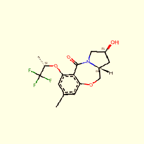 Cc1cc2c(c(O[C@@H](C)C(F)(F)F)c1)C(=O)N1C[C@@H](O)C[C@@H]1CO2